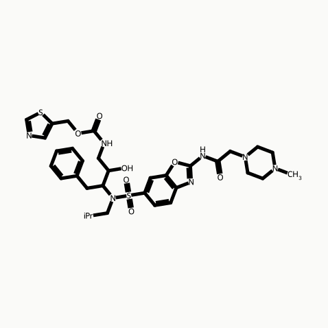 CC(C)CN(C(Cc1ccccc1)C(O)CNC(=O)OCc1cncs1)S(=O)(=O)c1ccc2nc(NC(=O)CN3CCN(C)CC3)oc2c1